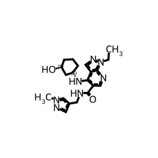 CCn1ncc2c(N[C@H]3CCC[C@H](O)C3)c(C(=O)NCc3cnn(C)c3)cnc21